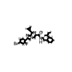 C/C=C(/C)c1ccccc1CCNC(=O)c1cn2cc(-c3ccc(Br)cc3F)nc2c(C2CC2)n1